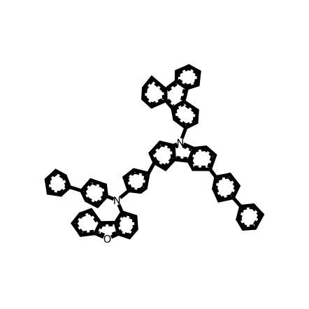 c1ccc(-c2ccc(-c3ccc4c(c3)c3cc(-c5ccc(N(c6ccc(-c7ccccc7)cc6)c6cccc7oc8ccccc8c67)cc5)ccc3n4-c3ccc4c5ccccc5c5ccccc5c4c3)cc2)cc1